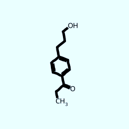 CCC(=O)c1ccc(CCCO)cc1